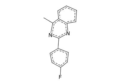 Cc1nc(-c2ccc(F)cc2)nc2ccccc12